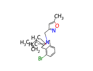 C=C(C)CC1C2c3c(Br)cccc3C(CC2(C)C)N1Cc1cc(C)on1